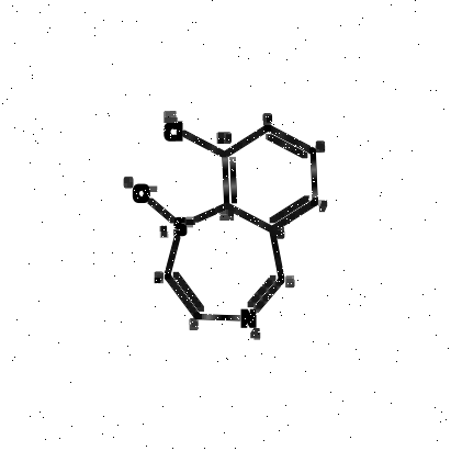 [O-][S+]1C=CN=Cc2cccc(Cl)c21